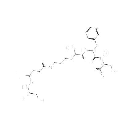 NC(=O)C(CO)N(N)C(=O)C(Cc1ccccc1)NC(=O)C(N)CCCCNC(=O)CCC(NN[C@H](C=O)CO)C(=O)O